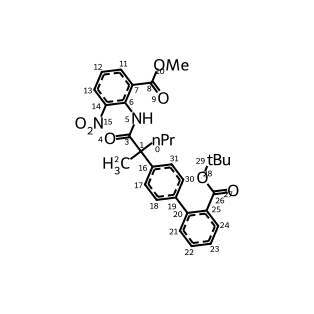 CCCC(C)(C(=O)Nc1c(C(=O)OC)cccc1[N+](=O)[O-])c1ccc(-c2ccccc2C(=O)OC(C)(C)C)cc1